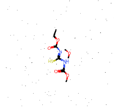 CCOC(=O)/N=C(\S)NC(=O)OC.COC